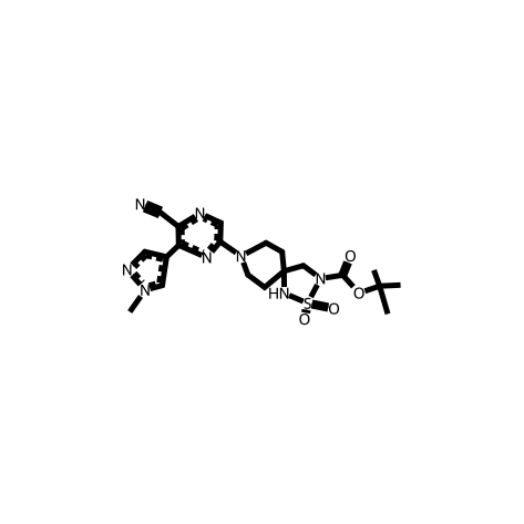 Cn1cc(-c2nc(N3CCC4(CC3)CN(C(=O)OC(C)(C)C)S(=O)(=O)N4)cnc2C#N)cn1